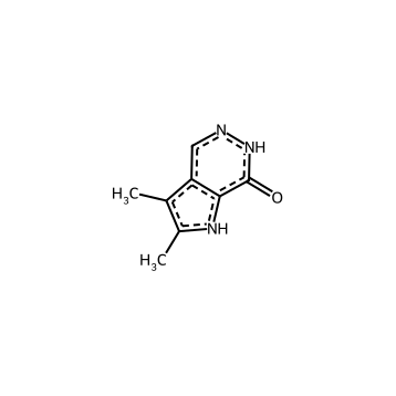 Cc1[nH]c2c(=O)[nH]ncc2c1C